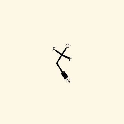 N#CCC([O])(F)F